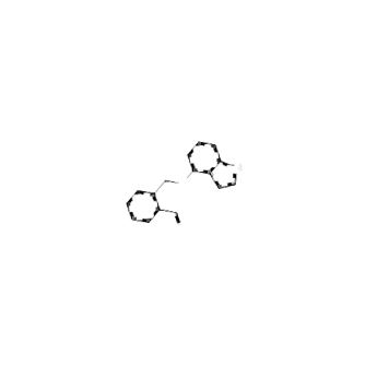 O=Cc1ccccc1COc1cccc2[nH]ccc12